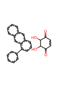 O=C1C=CC(=O)C(O)C1O.c1ccc(-c2cccc3cc4ccccc4cc23)cc1